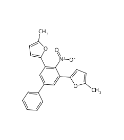 Cc1ccc(-c2cc(-c3ccccc3)cc(-c3ccc(C)o3)c2[N+](=O)[O-])o1